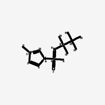 C[n+]1ccn(S(C)(=O)=N[Si](C)(C)C(C)(C)C)c1